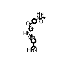 C=C(F)C(=O)Nc1ccc(C(=O)N2CCC(Nc3nc4cc(-c5cn[nH]c5)ccn4n3)C2)cc1